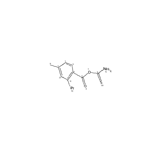 Cc1ccc(C(=O)OC(N)=S)c(C(C)C)c1